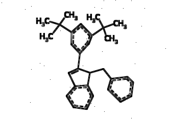 CC(C)(C)c1cc(C2=Cc3ccccc3C2Cc2ccccc2)cc(C(C)(C)C)c1